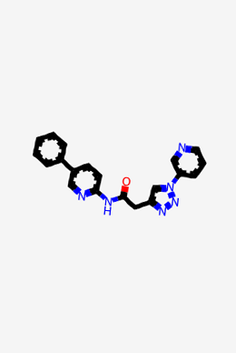 O=C(Cc1cn(-c2cccnc2)nn1)Nc1ccc(-c2ccccc2)cn1